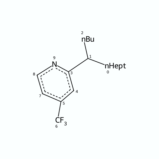 CCCCCCCC(CCCC)c1cc(C(F)(F)F)ccn1